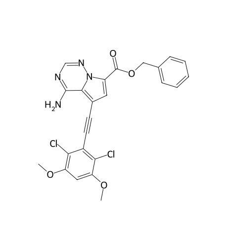 COc1cc(OC)c(Cl)c(C#Cc2cc(C(=O)OCc3ccccc3)n3ncnc(N)c23)c1Cl